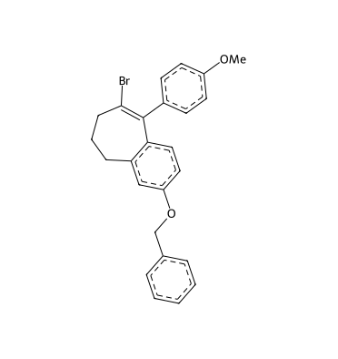 COc1ccc(C2=C(Br)CCCc3cc(OCc4ccccc4)ccc32)cc1